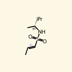 C/C=C/S(=O)(=O)N[C@H](C)C(C)C